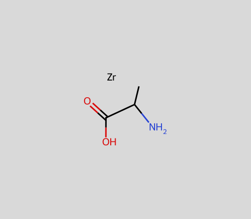 CC(N)C(=O)O.[Zr]